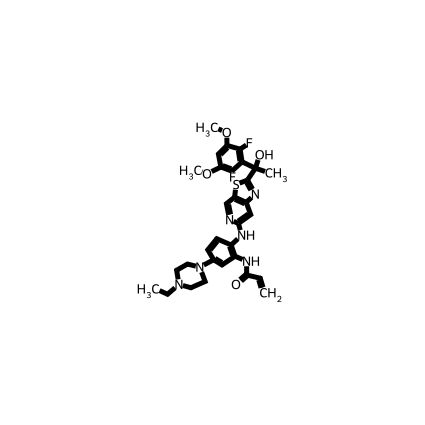 C=CC(=O)Nc1cc(N2CCN(CC)CC2)ccc1Nc1cc2nc(C(C)(O)c3c(F)c(OC)cc(OC)c3F)sc2cn1